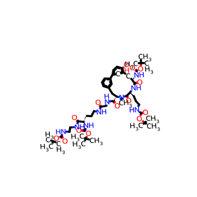 CN1C(=O)[C@H](CCCNC(=O)OC(C)(C)C)NC(=O)[C@@H](NC(=O)OC(C)(C)C)Cc2cc(ccc2O)-c2cccc(c2)C[C@H]1C(=O)NCC(=O)NCCC[C@H](NC(=O)OC(C)(C)C)C(=O)NCCNC(=O)OC(C)(C)C